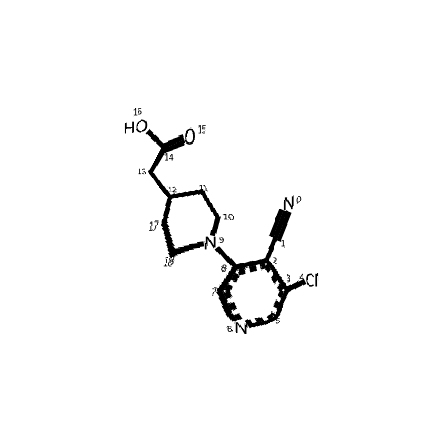 N#Cc1c(Cl)cncc1N1CCC(CC(=O)O)CC1